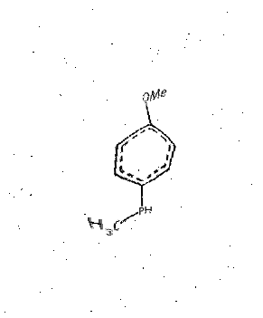 COc1ccc(PC)cc1